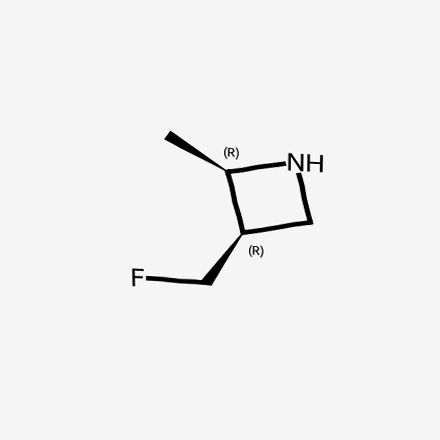 C[C@H]1NC[C@H]1CF